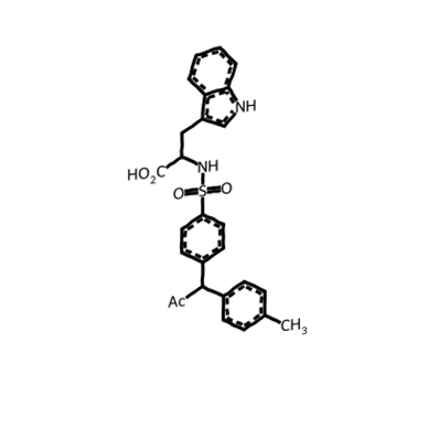 CC(=O)C(c1ccc(C)cc1)c1ccc(S(=O)(=O)NC(Cc2c[nH]c3ccccc23)C(=O)O)cc1